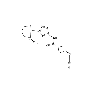 C[C@H]1CCCCC1c1ncc(NC(=O)[C@H]2C[C@H](NC#N)C2)s1